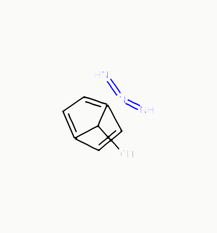 CC1C2=CC=C1C=C2.N=[N+]=N